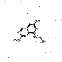 CSc1ncc2cc(C#N)nc(NCC(C)C)c2n1